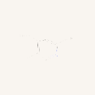 CCOC(=O)c1cc(C)ncc1Cl